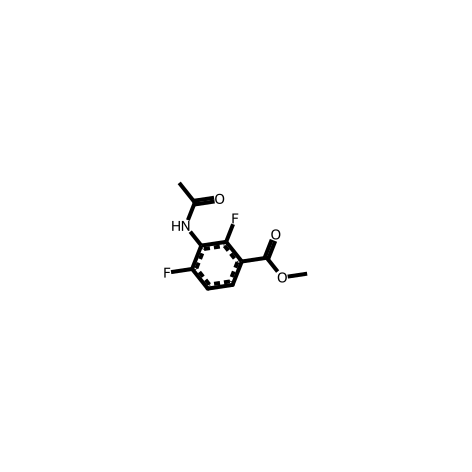 COC(=O)c1ccc(F)c(NC(C)=O)c1F